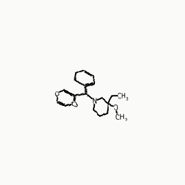 CCC1(OC)CCCN(C(C2=CC=CCC2)C2=COC=CO2)C1